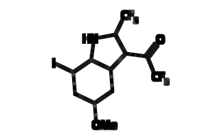 COC1CC(I)C2NC(C(F)(F)F)C(C(=O)C(F)(F)F)C2C1